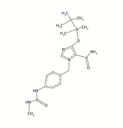 CNC(=O)Nc1ccc(Cn2cnc(O[Si](C)(C)C(C)(C)C)c2C(N)=O)cc1